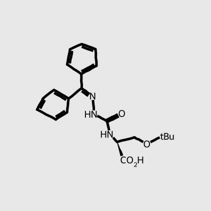 CC(C)(C)OC[C@H](NC(=O)NN=C(c1ccccc1)c1ccccc1)C(=O)O